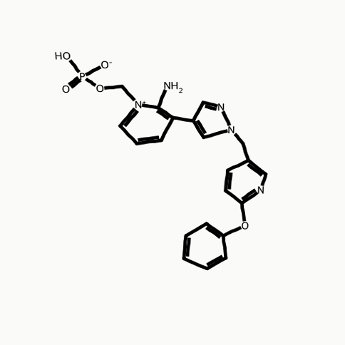 Nc1c(-c2cnn(Cc3ccc(Oc4ccccc4)nc3)c2)ccc[n+]1COP(=O)([O-])O